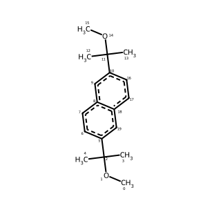 COC(C)(C)c1ccc2cc(C(C)(C)OC)ccc2c1